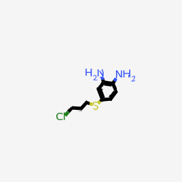 Nc1ccc(SCCCCl)cc1N